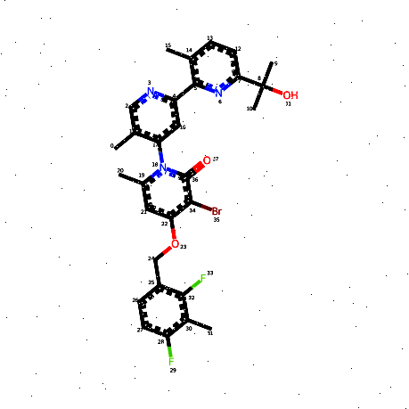 Cc1cnc(-c2nc(C(C)(C)O)ccc2C)cc1-n1c(C)cc(OCc2ccc(F)c(C)c2F)c(Br)c1=O